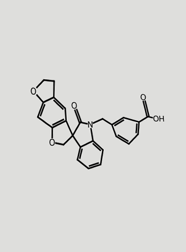 O=C(O)c1cccc(CN2C(=O)C3(COc4cc5c(cc43)CCO5)c3ccccc32)c1